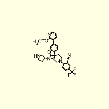 CCOc1ncccc1-c1ccc(C2(C(=O)N[C@@H]3CCNC3)CCN(c3ccc(C(F)(F)F)cc3C#N)CC2)cc1